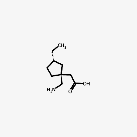 CC[C@H]1CC[C@@](CN)(CC(=O)O)C1